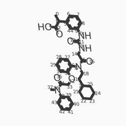 CC(C(=O)O)c1cccc(NC(=O)NCC(=O)N(CCC2CCCCC2)c2ccccc2OCC(=O)N(C)c2ccccc2)c1